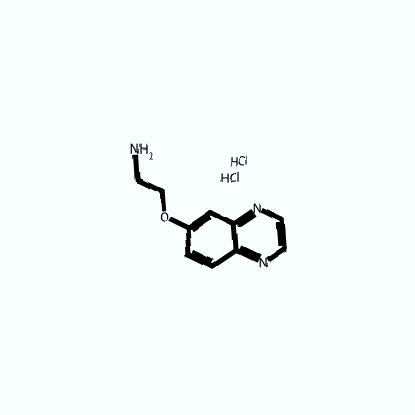 Cl.Cl.NCCOc1ccc2nccnc2c1